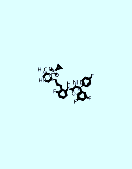 C[C@H]1CNC[C@H](CCCc2c(F)cccc2NC(=O)[C@@H](N)[C@@H](c2ccc(F)cc2)c2cc(F)cc(F)c2)N1S(=O)(=O)C1CC1